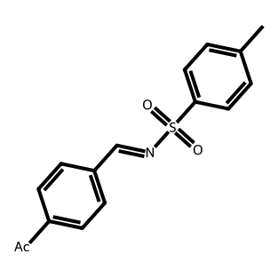 CC(=O)c1ccc(/C=N/S(=O)(=O)c2ccc(C)cc2)cc1